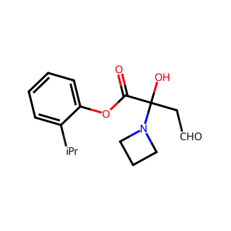 CC(C)c1ccccc1OC(=O)C(O)(CC=O)N1CCC1